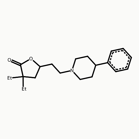 CCC1(CC)CC(CCN2CCC(c3ccccc3)CC2)OC1=O